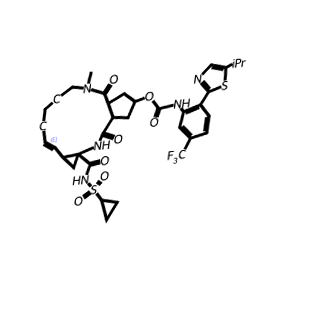 CC(C)c1cnc(-c2ccc(C(F)(F)F)cc2NC(=O)OC2CC3C(=O)NC4(C(=O)NS(=O)(=O)C5CC5)CC4/C=C/CCCCN(C)C(=O)C3C2)s1